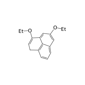 CCOC1=CCc2cccc3cc(OCC)cc1c23